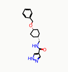 O=C(NC[C@H]1CC[C@@H](OCc2ccccc2)CC1)c1cn[nH]c1